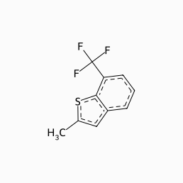 Cc1cc2cccc(C(F)(F)F)c2s1